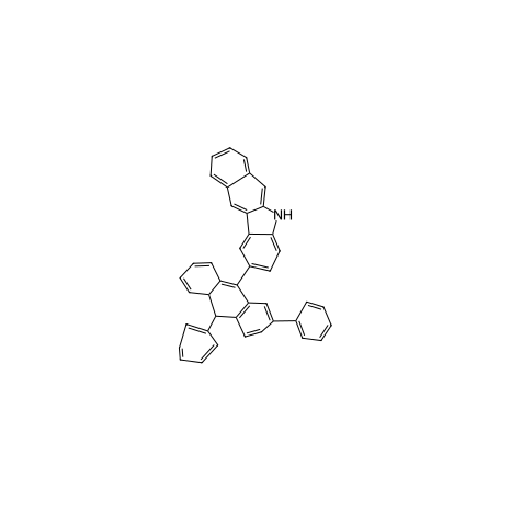 C1=CC2=C(c3ccc4[nH]c5cc6ccccc6cc5c4c3)c3cc(-c4ccccc4)ccc3C(c3ccccc3)C2C=C1